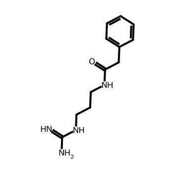 N=C(N)NCCCNC(=O)Cc1ccccc1